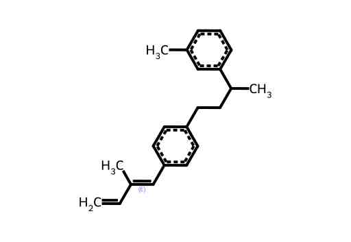 C=C/C(C)=C/c1ccc(CCC(C)c2cccc(C)c2)cc1